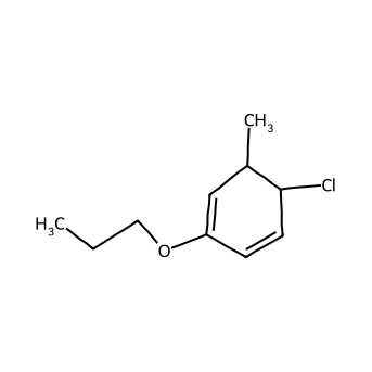 CCCOC1=CC(C)C(Cl)C=C1